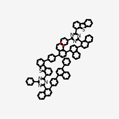 c1ccc(-c2nc(-c3c(-c4ccc(-c5ccc(-c6ccc(-c7cccc8sc9c(-c%10nc(-c%11ccccc%11)nc(-c%11c(-c%12ccc(-c%13ccc(-c%14ccccc%14)c%14ccccc%13%14)cc%12)ccc%12ccccc%11%12)n%10)cccc9c78)cc6)c6ccccc56)c5ccccc45)ccc4ccccc34)nc(-c3cccc4c3sc3ccccc34)n2)cc1